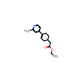 CCOC(=O)CC1CC=C(c2ccnc(C)c2)CC1